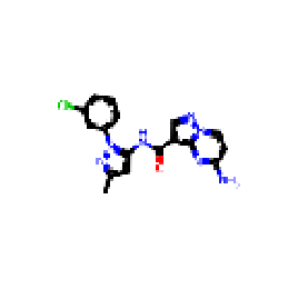 Cc1cc(NC(=O)c2cnn3ccc(N)nc23)n(-c2cccc(Cl)c2)n1